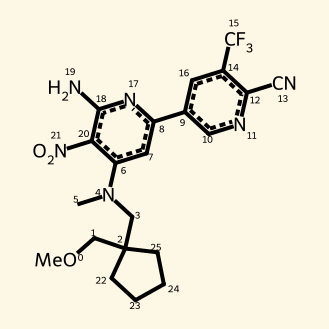 COCC1(CN(C)c2cc(-c3cnc(C#N)c(C(F)(F)F)c3)nc(N)c2[N+](=O)[O-])CCCC1